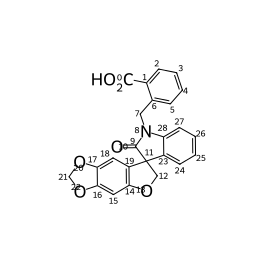 O=C(O)c1ccccc1CN1C(=O)C2(COc3cc4c(cc32)OCO4)c2ccccc21